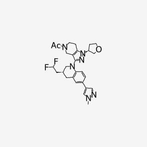 CC(=O)N1CCc2c(c(N3C[C@H](CC(F)F)Cc4cc(-c5cnn(C)c5)ccc43)nn2[C@H]2CCOC2)C1